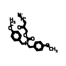 COc1ccc(CN(Cc2ccc(OC)cc2)C(=O)OCC(=O)C=[N+]=[N-])cc1